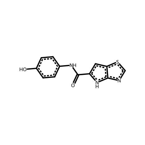 O=C(Nc1ccc(O)cc1)c1cc2scnc2[nH]1